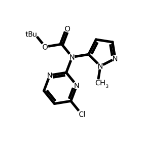 Cn1nccc1N(C(=O)OC(C)(C)C)c1nccc(Cl)n1